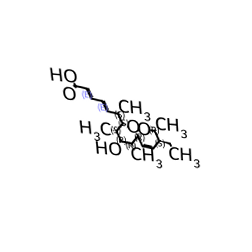 CC[C@H]1C=C[C@]2(O[C@@H]([C@@H](C)/C=C/C=C/C(=O)O)[C@@H](C)[C@@H](O)[C@H]2C)O[C@@H]1C